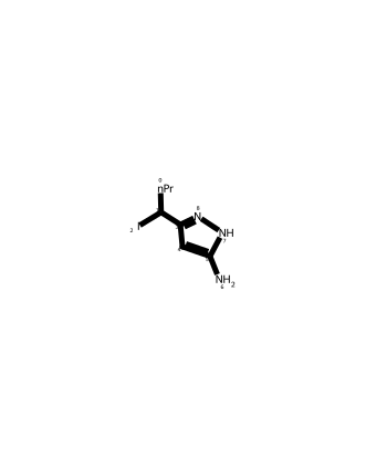 CCCC(I)c1cc(N)[nH]n1